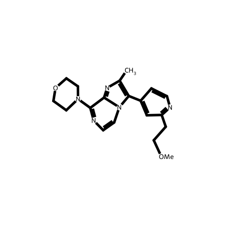 COCCc1cc(-c2c(C)nc3c(N4CCOCC4)nccn23)ccn1